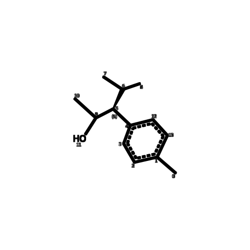 Cc1ccc([C@H](C(C)C)C(C)O)cc1